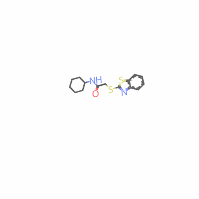 O=C(CSc1nc2ccccc2s1)NC1CCCCC1